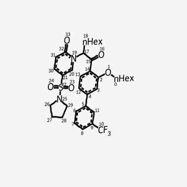 CCCCCCOc1cc(-c2cccc(C(F)(F)F)c2)ccc1C(=O)C(CCCCCC)n1cc(S(=O)(=O)N2CCCC2)ccc1=O